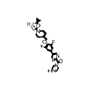 CC1(OC(=O)N2CCC(COc3c(F)cc(-c4cnc(C(=O)N5CCNCC5)nc4)cc3F)CC2)CC1